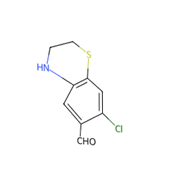 O=Cc1cc2c(cc1Cl)SCCN2